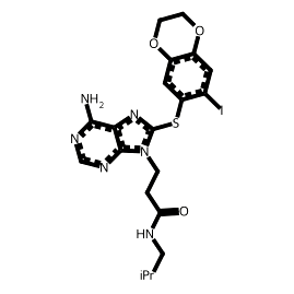 CC(C)CNC(=O)CCn1c(Sc2cc3c(cc2I)OCCO3)nc2c(N)ncnc21